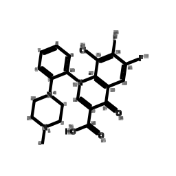 CN1CCN(c2ccccc2-n2cc(C(=O)O)c(=O)c3cc(F)c(F)c(Cl)c32)CC1